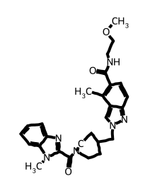 COCCNC(=O)c1ccc2nn(CC3CCN(C(=O)c4nc5ccccc5n4C)CC3)cc2c1C